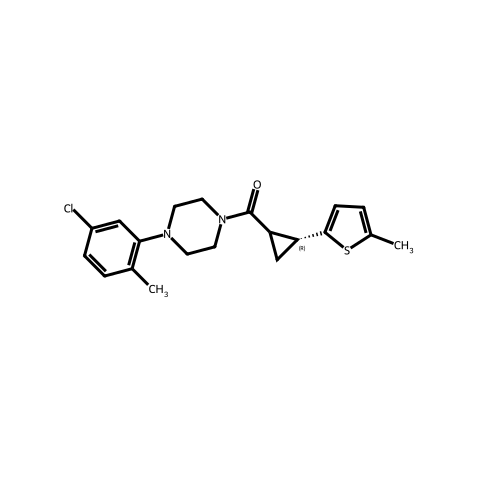 Cc1ccc([C@@H]2CC2C(=O)N2CCN(c3cc(Cl)ccc3C)CC2)s1